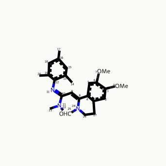 COc1cc2c(cc1OC)/C(=C/C(=N\c1c(C)cc(C)cc1C)N(C)C)N(C=O)CC2